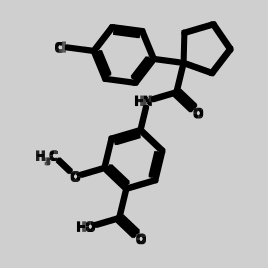 COc1cc(NC(=O)C2(c3ccc(Cl)cc3)CCCC2)ccc1C(=O)O